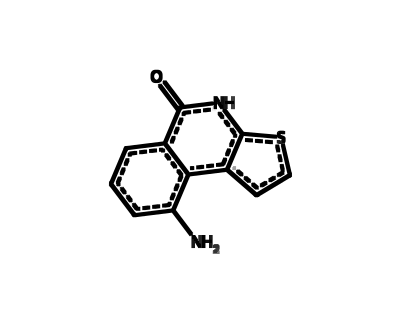 Nc1cccc2c(=O)[nH]c3sccc3c12